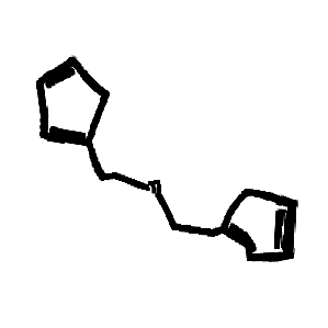 C1=CCC([CH2][Ti][CH2]C2=CC=CC2)=C1